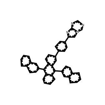 c1ccc2cc(-c3c4ccccc4c(-c4ccc5ccccc5c4)c4cc(-c5ccc(-c6cn7cncnc7n6)cc5)ccc34)ccc2c1